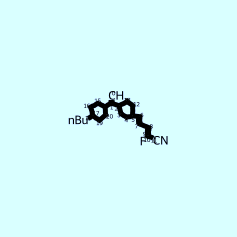 C=C(C1CCC(C=CC=C(F)C#N)CC1)C1CCC(CCCC)CC1